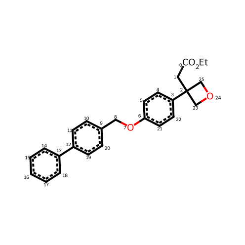 CCOC(=O)CC1(c2ccc(OCc3ccc(-c4ccccc4)cc3)cc2)COC1